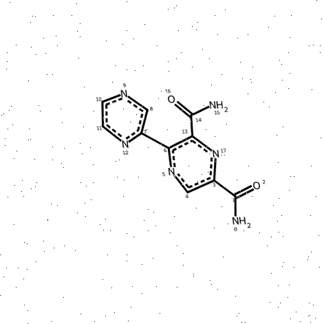 NC(=O)c1cnc(-c2cnccn2)c(C(N)=O)n1